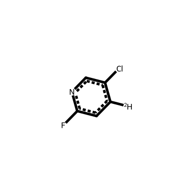 [2H]c1cc(F)ncc1Cl